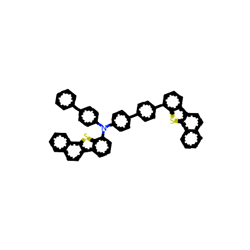 c1ccc(-c2ccc(N(c3ccc(-c4ccc(-c5cccc6c5sc5c7ccccc7ccc65)cc4)cc3)c3cccc4c3sc3c5ccccc5ccc43)cc2)cc1